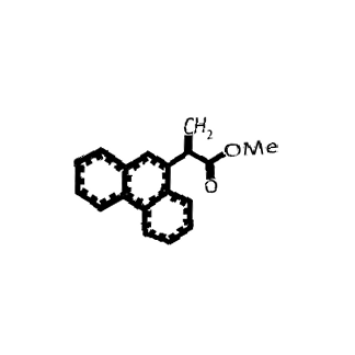 C=C(C(=O)OC)c1cc2ccccc2c2ccccc12